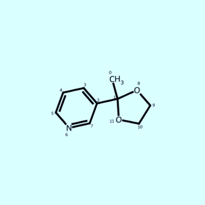 CC1(c2cccnc2)OCCO1